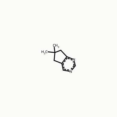 CC1(C)Cc2[c]ncnc2C1